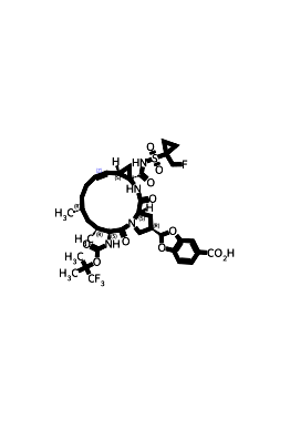 C[C@@H]1CC/C=C\[C@@H]2C[C@@]2(C(=O)NS(=O)(=O)C2(CF)CC2)NC(=O)[C@@H]2C[C@@H](C3Oc4ccc(C(=O)O)cc4O3)CN2C(=O)[C@@H](NC(=O)OC(C)(C)C(F)(F)F)[C@H](C)C1